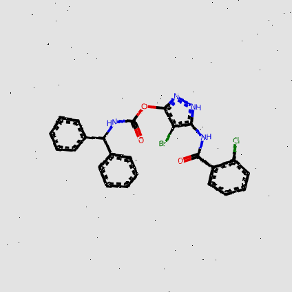 O=C(NC(c1ccccc1)c1ccccc1)Oc1n[nH]c(NC(=O)c2ccccc2Cl)c1Br